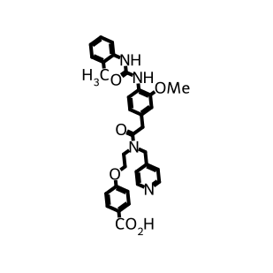 COc1cc(CC(=O)N(CCOc2ccc(C(=O)O)cc2)Cc2ccncc2)ccc1NC(=O)Nc1ccccc1C